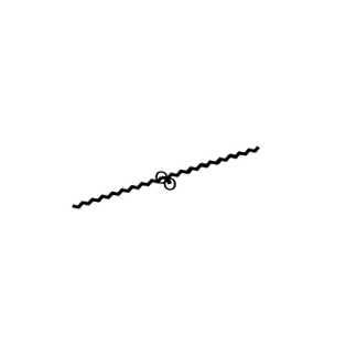 CCCCCC=CCC=CCC=CCC=CCCCC(=O)OCCCCCCCCCCCCCCCCCC